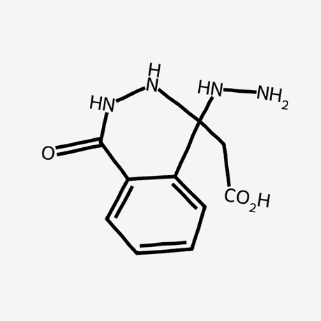 NNC1(CC(=O)O)NNC(=O)c2ccccc21